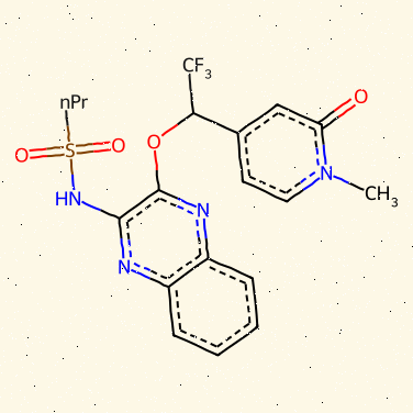 CCCS(=O)(=O)Nc1nc2ccccc2nc1OC(c1ccn(C)c(=O)c1)C(F)(F)F